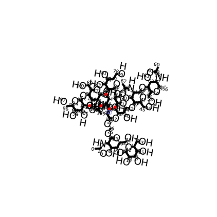 CC(=O)NC1C(O)[C@H](O[C@@H]2OC(CO)[C@H](O)C(O)C2O)C(CO)O[C@H]1OCO[C@@H](/C=C(\O)[C@H](O)CCO)OC1C(O)[C@H](O[C@@H]2C(CO)O[C@@H](O[C@@H]3C(CO)O[C@@H](C)C(NC(C)=O)C3O)C(NC(C)=O)C2O)OC(CO[C@H]2OC(CO)[C@@H](O)C(O)C2O[C@@H]2OC(CO)[C@@H](O[C@@H]3OC(CO)[C@H](O)C(O)C3O)C(O)C2NC(C)=O)[C@H]1O